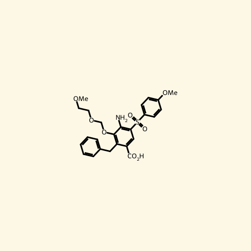 COCCOCOc1c(N)c(S(=O)(=O)c2ccc(OC)cc2)cc(C(=O)O)c1Cc1ccccc1